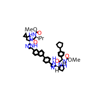 COC(=O)N[C@H](C(=O)N1[C@@H]2CC[C@@H](C2)[C@H]1c1ncc(-c2ccc(-c3ccc4cc(-c5cnc([C@@H]6CC7(CC7)CN6C(=O)[C@@H](NC(=O)OC)C(C)C)[nH]5)ccc4c3)cc2)[nH]1)c1ccc(C2CCCCC2)cc1